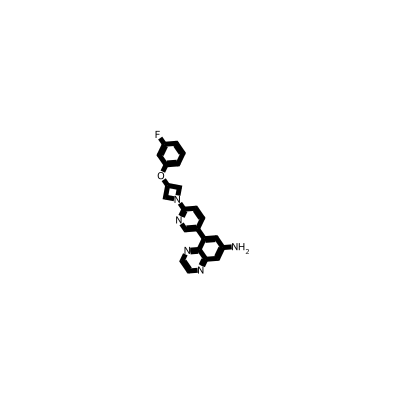 Nc1cc(-c2ccc(N3CC(Oc4cccc(F)c4)C3)nc2)c2nccnc2c1